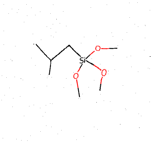 [CH2]C(C)C[Si](OC)(OC)OC